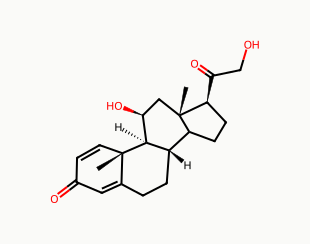 C[C@]12C=CC(=O)C=C1CC[C@H]1C3CC[C@H](C(=O)CO)[C@@]3(C)C[C@H](O)[C@@H]12